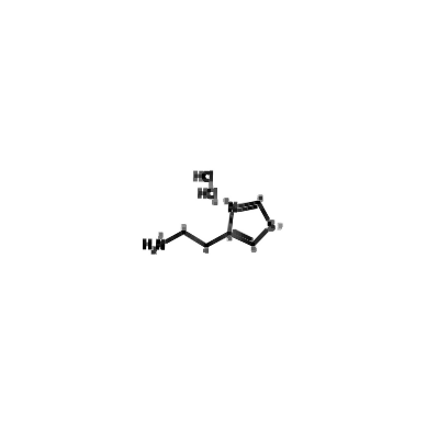 Cl.Cl.NCCc1cscn1